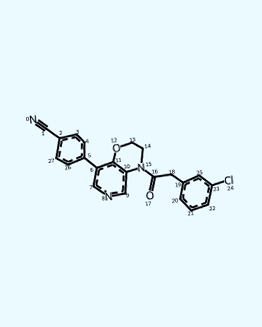 N#Cc1ccc(-c2cncc3c2OCCN3C(=O)Cc2cccc(Cl)c2)cc1